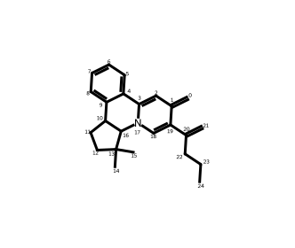 C=C1C=C2c3ccccc3C3CCC(C)(C)C3N2C=C1C(=C)CCC